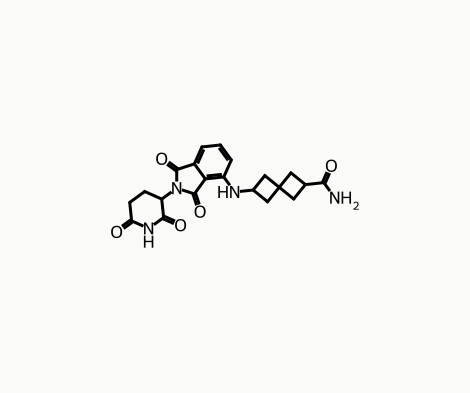 NC(=O)C1CC2(CC(Nc3cccc4c3C(=O)N(C3CCC(=O)NC3=O)C4=O)C2)C1